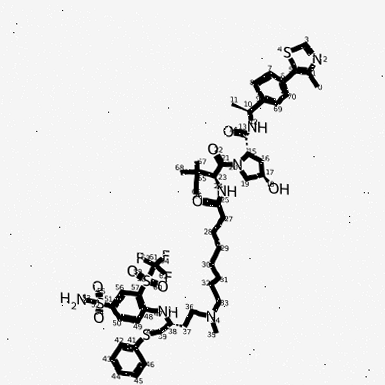 Cc1ncsc1-c1ccc([C@H](C)NC(=O)[C@@H]2C[C@@H](O)CN2C(=O)[C@@H](NC(=O)CCCCCCCN(C)CC[C@H](CSc2ccccc2)Nc2ccc(S(N)(=O)=O)cc2S(=O)(=O)C(F)(F)F)C(C)(C)C)cc1